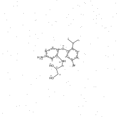 CC(C)c1cnc(Br)cc1Oc1cnc(N)nc1NCC(O)CO